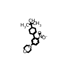 CC(C)(C)C1CC=C(c2cc(N3CCOCC3)ccc2[N+](=O)[O-])CC1